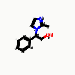 Cc1nccn1C(CO)c1ccccc1